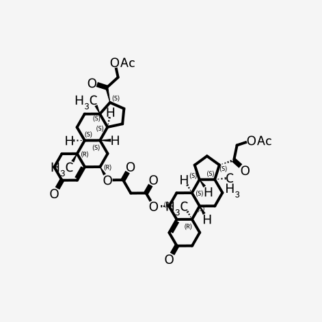 CC(=O)OCC(=O)[C@H]1CC[C@H]2[C@@H]3C[C@@H](OC(=O)CC(=O)O[C@@H]4C[C@H]5[C@@H]6CC[C@H](C(=O)COC(C)=O)[C@@]6(C)CC[C@@H]5[C@@]5(C)CCC(=O)C=C45)C4=CC(=O)CC[C@]4(C)[C@H]3CC[C@]12C